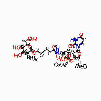 COC[C@H]1O[C@@H](n2ccc(=O)[nH]c2=O)C(CCCNC(=O)CCCCO[C@@H]2O[C@H](CO)[C@H](O)[C@H](O)[C@H]2NC(C)=O)[C@H]1OP(=O)(O)OC